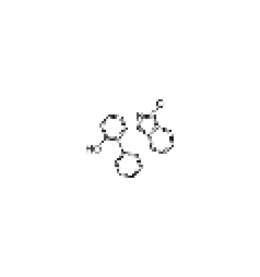 Oc1ccccc1-c1ccccc1.[O-][s+]1ncc2ccccc21